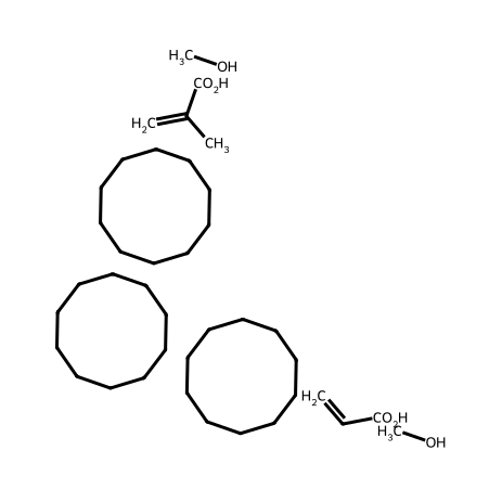 C1CCCCCCCCC1.C1CCCCCCCCC1.C1CCCCCCCCC1.C=C(C)C(=O)O.C=CC(=O)O.CO.CO